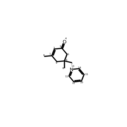 CC1=CC(=O)CC(C)(C)C1.c1ccncc1